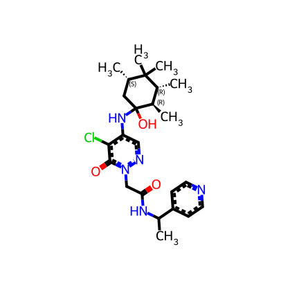 CC(NC(=O)Cn1ncc(NC2(O)C[C@H](C)C(C)(C)[C@H](C)[C@H]2C)c(Cl)c1=O)c1ccncc1